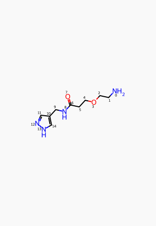 NCCOCCC(=O)NCc1cn[nH]c1